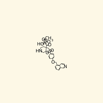 CS(=O)(=O)N(O)C(=O)C1(CS(=O)(=O)c2ccc(OCc3cccc4cnccc34)cc2)CCNCC1